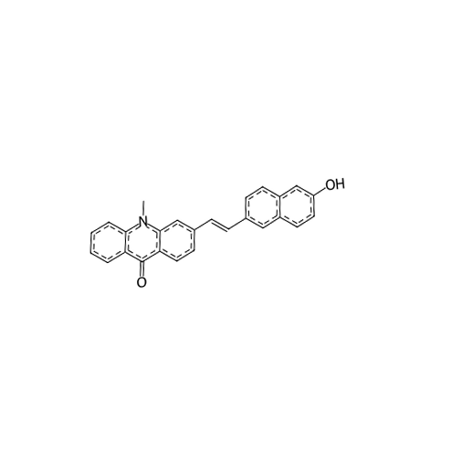 Cn1c2ccccc2c(=O)c2ccc(/C=C/c3ccc4cc(O)ccc4c3)cc21